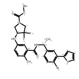 Cc1ccc(N[C@H]2CN(C(=O)OC(C)(C)C)CC2(F)F)cc1C(=O)N[C@H](C)c1ccc(Br)c(-c2cccs2)c1